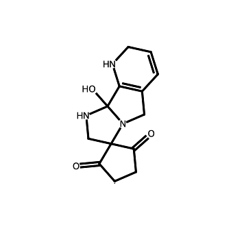 O=C1[CH]CC(=O)C12CNC1(O)C3=C(C=CCN3)CN12